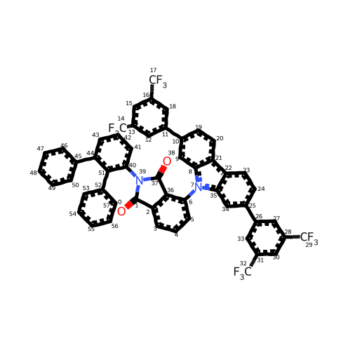 O=C1c2cccc(-n3c4cc(-c5cc(C(F)(F)F)cc(C(F)(F)F)c5)ccc4c4ccc(-c5cc(C(F)(F)F)cc(C(F)(F)F)c5)cc43)c2C(=O)N1c1cccc(-c2ccccc2)c1-c1ccccc1